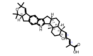 C/C(=C\C=C\[C@]1(C)[C@@H](O)CC[C@@]2(C)[C@H]1CC[C@H]1Cc3c([nH]c4cc5c(cc34)C3=CC(C)(C)OC(C)(C)[C@H]3C5)[C@@]12C)C(=O)O